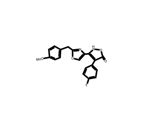 COc1ccc(Cc2nc(-c3[nH]oc(=O)c3-c3ccc(F)cc3)co2)cc1